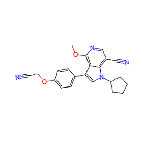 COc1ncc(C#N)c2c1c(-c1ccc(OCC#N)cc1)cn2C1CCCC1